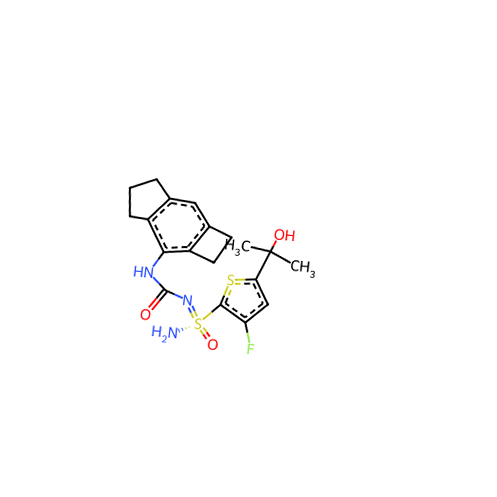 CC(C)(O)c1cc(F)c([S@@](N)(=O)=NC(=O)Nc2c3c(cc4c2CC4)CCC3)s1